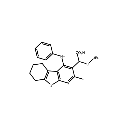 Cc1nc2sc3c(c2c(Nc2ccccc2)c1C(OC(C)(C)C)C(=O)O)CCCC3